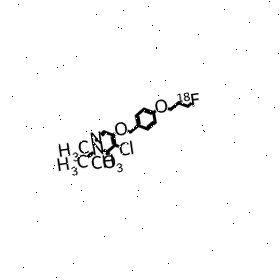 CC(C)(C)n1ncc(OCc2ccc(OCCC[18F])cc2)c(Cl)c1=O